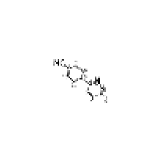 Cc1ccc(-c2ccc(C#N)cc2)nn1